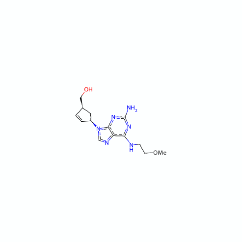 COCCNc1nc(N)nc2c1ncn2[C@H]1C=C[C@@H](CO)C1